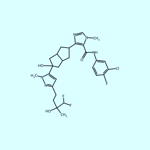 Cn1cnc(C2CC3CC(O)(c4cc(CCC(C)(O)C(F)F)nn4C)CC3C2)c1C(=O)Nc1ccc(F)c(Cl)c1